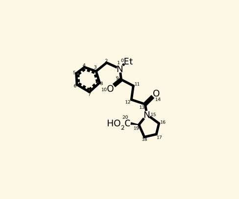 CCN(Cc1ccccc1)C(=O)CCC(=O)N1CCC[C@H]1C(=O)O